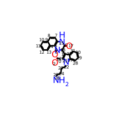 CC(=O)ON1c2c(ccc3ccccc23)NC(=O)C1c1cn(CCCCN)c2ccccc12